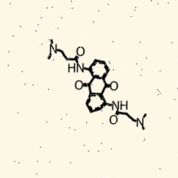 CN(C)CCC(=O)Nc1cccc2c1C(=O)c1cccc(NC(=O)CCN(C)C)c1C2=O